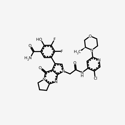 C[C@H]1COCCN1c1cc(NC(=O)Cn2cc(-c3cc(C(N)=O)c(O)c(F)c3F)c3c(=O)n4c(nc32)CCC4)c(Cl)cn1